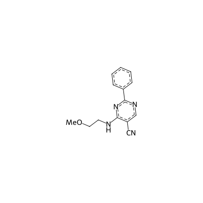 COCCNc1nc(-c2ccccc2)ncc1C#N